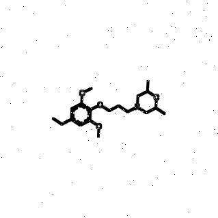 CCc1cc(OC)c(OCCCN2CC(C)OC(C)C2)c(OC)c1